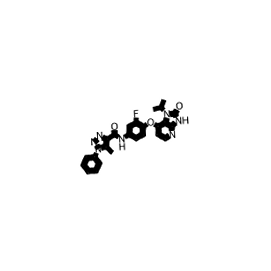 Cc1c(C(=O)Nc2ccc(Oc3ccnc4[nH]c(=O)n(C(C)C)c34)c(F)c2)nnn1-c1ccccc1